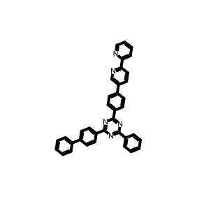 c1ccc(-c2ccc(-c3nc(-c4ccccc4)nc(-c4ccc(-c5ccc(-c6ccccn6)nc5)cc4)n3)cc2)cc1